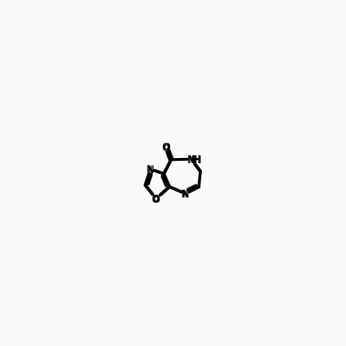 O=C1NCC=Nc2ocnc21